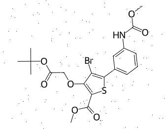 COC(=O)Nc1cccc(-c2sc(C(=O)OC)c(OCC(=O)OC(C)(C)C)c2Br)c1